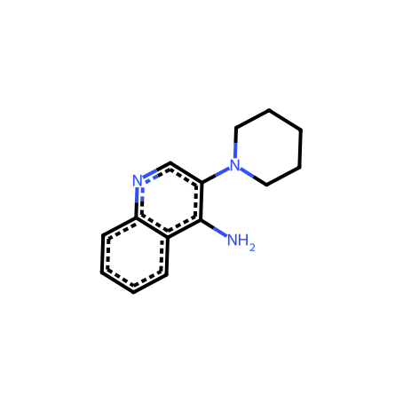 Nc1c(N2CCCCC2)cnc2ccccc12